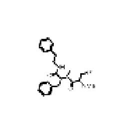 CN[C@@H](CC(C)C)C(=O)N(C)[C@@H](Cc1ccccc1)C(=O)NCCc1ccccc1